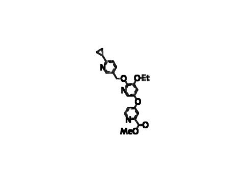 CCOc1cc(Oc2ccnc(C(=O)OC)c2)cnc1OCc1ccc(C2CC2)nc1